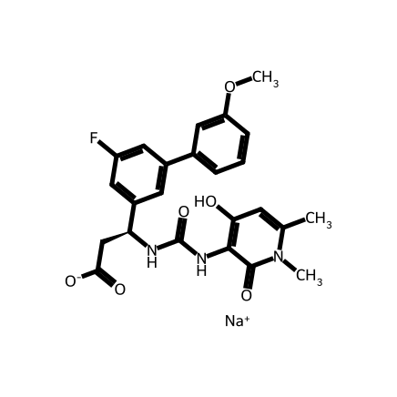 COc1cccc(-c2cc(F)cc([C@H](CC(=O)[O-])NC(=O)Nc3c(O)cc(C)n(C)c3=O)c2)c1.[Na+]